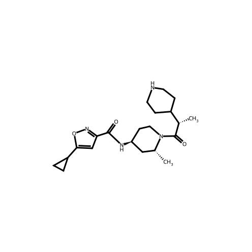 C[C@H](C(=O)N1CC[C@H](NC(=O)c2cc(C3CC3)on2)C[C@H]1C)C1CCNCC1